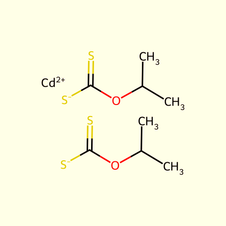 CC(C)OC(=S)[S-].CC(C)OC(=S)[S-].[Cd+2]